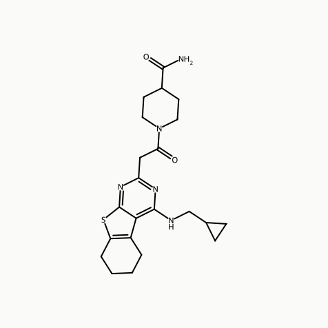 NC(=O)C1CCN(C(=O)Cc2nc(NCC3CC3)c3c4c(sc3n2)CCCC4)CC1